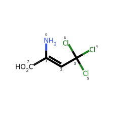 NC(=CC(Cl)(Cl)Cl)C(=O)O